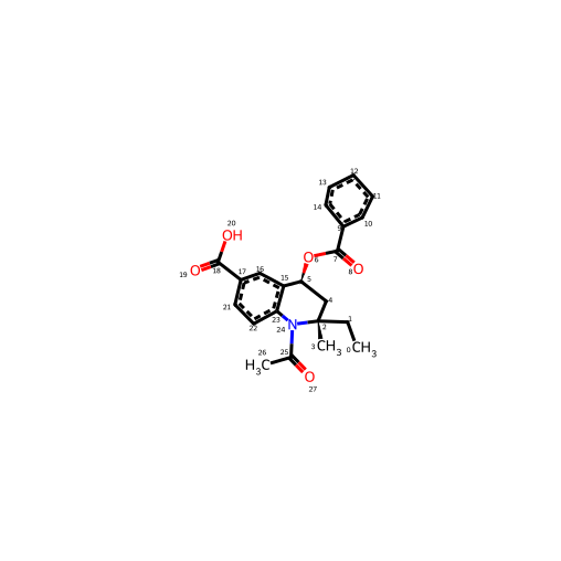 CC[C@@]1(C)C[C@H](OC(=O)c2ccccc2)c2cc(C(=O)O)ccc2N1C(C)=O